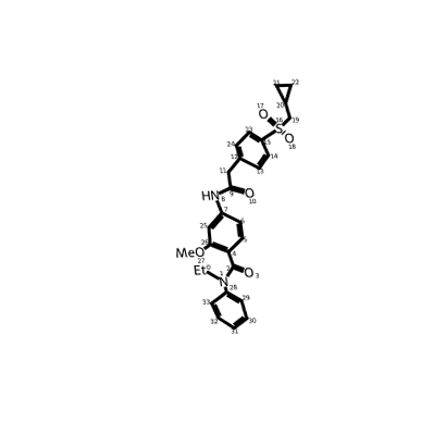 CCN(C(=O)c1ccc(NC(=O)Cc2ccc(S(=O)(=O)CC3CC3)cc2)cc1OC)c1ccccc1